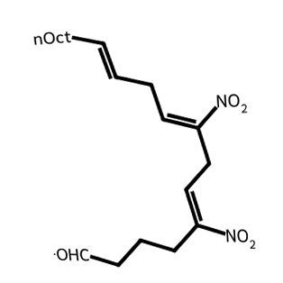 CCCCCCCC/C=C/C/C=C(/C/C=C(/CCC[C]=O)[N+](=O)[O-])[N+](=O)[O-]